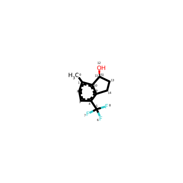 Cc1ccc(C(F)(F)F)c2c1[C@@H](O)CC2